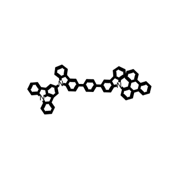 c1ccc2c(c1)c1ccccc1c1c(-n3c4ccccc4c4cc(-c5ccc(-c6ccc7c(c6)c6ccccc6n7-c6cc7c8ccccc8n8c9ccccc9c(c6)c78)cc5)ccc43)cccc21